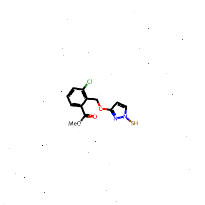 COC(=O)c1cccc(Cl)c1COc1ccn(S)n1